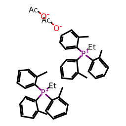 CC(=O)[O-].CC(=O)[O-].CC[P+](c1ccccc1C)(c1ccccc1C)c1ccccc1C.CC[P+](c1ccccc1C)(c1ccccc1C)c1ccccc1C